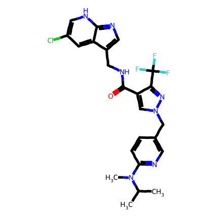 CC(C)N(C)c1ccc(Cn2cc(C(=O)NCc3cnc4[nH]cc(Cl)cc3-4)c(C(F)(F)F)n2)cn1